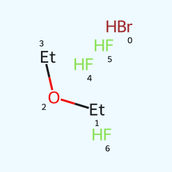 Br.CCOCC.F.F.F